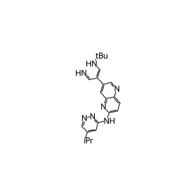 CC(C)c1cnnc(Nc2ccc3ncc(/C(C=N)=C/NC(C)(C)C)cc3n2)c1